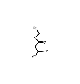 CC(C)CSC(=O)CC(C(C)C)C(C)C